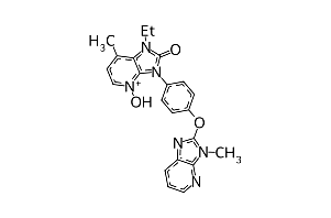 CCn1c(=O)n(-c2ccc(Oc3nc4cccnc4n3C)cc2)c2c1c(C)cc[n+]2O